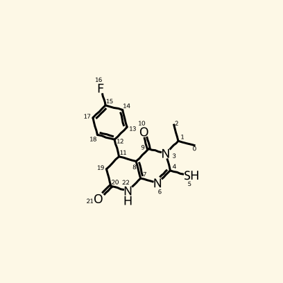 CC(C)n1c(S)nc2c(c1=O)C(c1ccc(F)cc1)CC(=O)N2